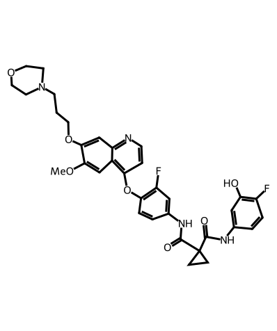 COc1cc2c(Oc3ccc(NC(=O)C4(C(=O)Nc5ccc(F)c(O)c5)CC4)cc3F)ccnc2cc1OCCCN1CCOCC1